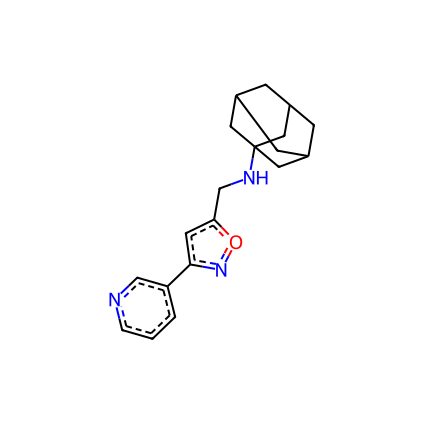 c1cncc(-c2cc(CNC34CC5CC(CC(C5)C3)C4)on2)c1